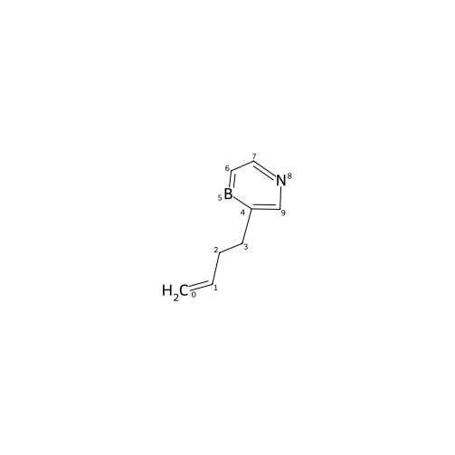 C=CCCc1bccnc1